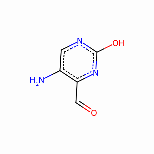 Nc1cnc(O)nc1C=O